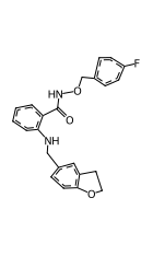 O=C(NOCc1ccc(F)cc1)c1ccccc1NCc1ccc2c(c1)CCO2